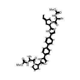 CC=C1CC(c2ncc(-c3ccc(-c4ccc(-c5cnc(C6CCCN6C(=O)C(NC(=O)OC)C(C)C)[nH]5)cc4)cc3)[nH]2)N(C(=O)C(NC(=O)OC)C(C)C)C1